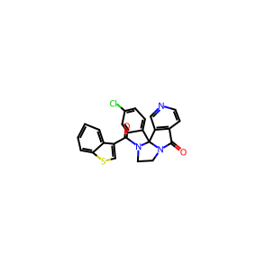 O=C1c2ccncc2C2(c3ccc(Cl)cc3)N1CCN2C(=O)c1csc2ccccc12